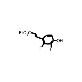 CCOC(=O)C=Cc1ccc(O)c(F)c1F